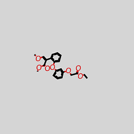 CCOC(=O)COc1cccc(Oc2ccccc2C(=COC)C(=O)OC)c1